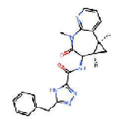 CN1C(=O)[C@H](NC(=O)c2nnc(Cc3ccccc3)[nH]2)[C@@H]2C[C@@H]2c2cccnc21